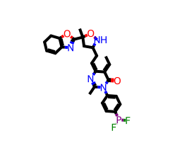 C/C=c1/c(=O)n(-c2ccc(P(F)F)cc2)c(C)n/c1=C/CC1CC(C)(c2nc3c(o2)CCC=C3)ON1